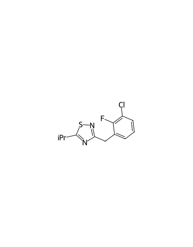 CC(C)c1nc(Cc2cccc(Cl)c2F)ns1